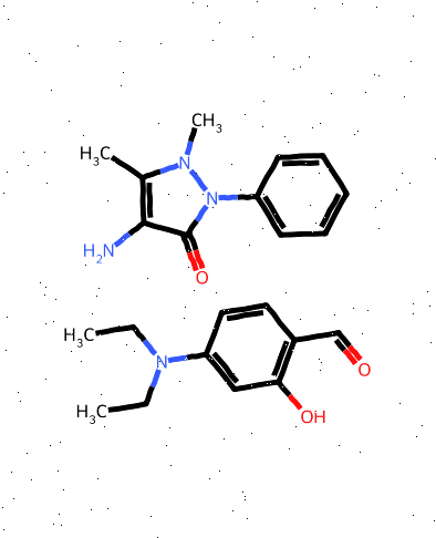 CCN(CC)c1ccc(C=O)c(O)c1.Cc1c(N)c(=O)n(-c2ccccc2)n1C